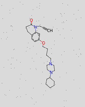 C#CCN1C(=O)CCc2ccc(OCCCCN3CCN(C4CCCCC4)CC3)cc21